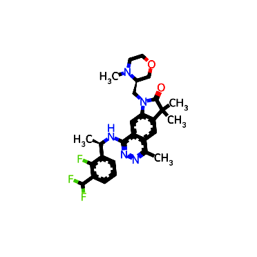 Cc1nnc(N[C@H](C)c2cccc(C(F)F)c2F)c2cc3c(cc12)C(C)(C)C(=O)N3C[C@@H]1COCCN1C